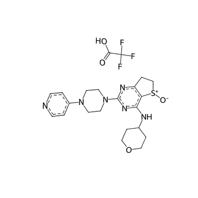 O=C(O)C(F)(F)F.[O-][S+]1CCc2nc(N3CCN(c4ccncc4)CC3)nc(NC3CCOCC3)c21